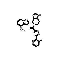 Cc1cccn2nc([C@@H]3c4nc[nH]c4CCN3C(=O)c3nnc(-c4ncccc4I)o3)cc12